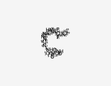 CN(CCNc1cccc2c1CN(C1CCC(=O)NC1=O)C2=O)C1CCN(c2cc(N3CCC4(CC3)CN(c3cc(F)c(CN5CCC(C)(C)CC5)cc3F)CCN4)ncn2)CC1